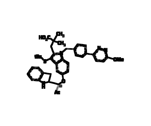 COc1ccc(-c2ccc(Cn3c(CC(C)(C)C(=O)O)c(SC(C)(C)C)c4cc(O[C@H](C(C)=O)C5Cc6ccccc6N5)ccc43)cc2)nn1